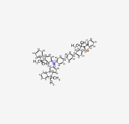 CC1(C)c2ccccc2-c2cc(N(c3ccc(-c4ccc(-c5ccc6c(c5)C(C)(C)c5c-6sc6ccccc56)cc4)cc3)c3ccc4c(c3)C(C)(C)c3ccccc3-4)ccc21